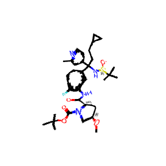 CO[C@@H]1C[C@H](C(=O)Nc2cc(C(CCC3CC3)(N[S@@+]([O-])C(C)(C)C)c3ccnc(C)c3)ccc2F)N(C(=O)OC(C)(C)C)C1